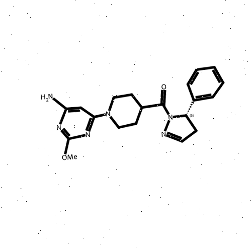 COc1nc(N)cc(N2CCC(C(=O)N3N=CC[C@H]3c3ccccc3)CC2)n1